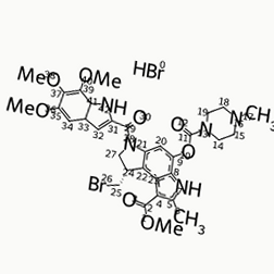 Br.COC(=O)c1c(C)[nH]c2c(OC(=O)N3CCN(C)CC3)cc3c(c12)[C@H](CBr)CN3C(=O)C1=CC2C=C(OC)C(OC)=C(OC)C2N1